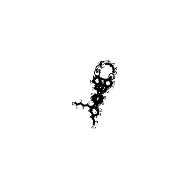 CCCCCC[C@@H](C)c1ccc(-c2ccc3c4c(ccc3c2)OCCCCCCCOc2ccc3cc(-c5ccc(C6CCC(CCC)CC6)cc5)ccc3c2-4)cc1